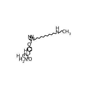 CCCNCCCCCCCCCCCn1nncc1COc1ccc(C[C@H](NC)C(N)=O)cc1